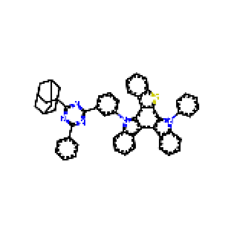 c1ccc(-c2nc(-c3cccc(-n4c5ccccc5c5c6c7ccccc7n(-c7ccccc7)c6c6sc7ccccc7c6c54)c3)nc(C34CC5CC(CC(C5)C3)C4)n2)cc1